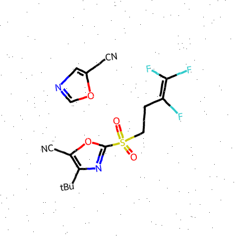 CC(C)(C)c1nc(S(=O)(=O)CCC(F)=C(F)F)oc1C#N.N#Cc1cnco1